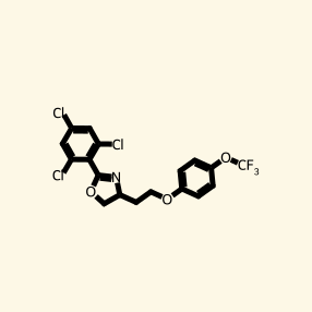 FC(F)(F)Oc1ccc(OCCC2COC(c3c(Cl)cc(Cl)cc3Cl)=N2)cc1